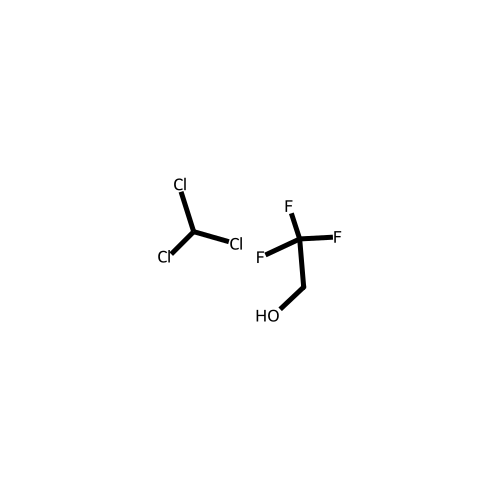 ClC(Cl)Cl.OCC(F)(F)F